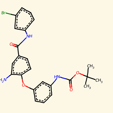 CC(C)(C)OC(=O)Nc1cccc(Oc2ccc(C(=O)Nc3cccc(Br)c3)cc2N)c1